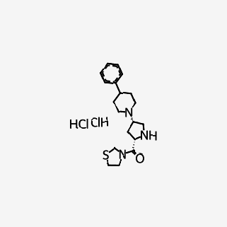 Cl.Cl.O=C([C@@H]1C[C@H](N2CCC(c3ccccc3)CC2)CN1)N1CCSC1